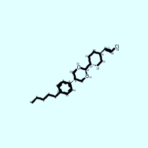 CCCCCc1ccc([C@H]2CO[C@H]([C@H]3CC[C@H](/C=C/Cl)CC3)OC2)cc1